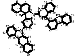 CC12C(=CC=C3C=CC=CC31)N(c1nc(-c3cccc4c3sc3ccccc34)c3ccccc3n1)c1ccc(-n3c4ccccc4c4cc5ccccc5cc43)cc12